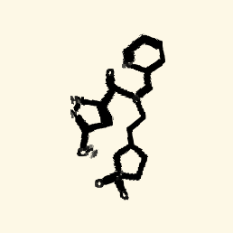 O=C(c1cc(C(F)(F)F)n[nH]1)N(CCC1CCS(=O)(=O)C1)Cc1ccccn1